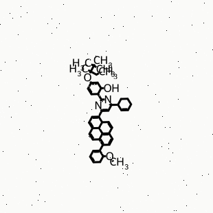 CCC(C)(OC1=CC(O)C(c2nc(C3=CC=C4C=Cc5c(C6=CC=CCC6OC)ccc6c5C4C3C=C6)cc(C3C=CCCC3)n2)C=C1)C(C)(C)C